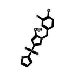 O=C(O)c1cc(S(=O)(=O)c2cccs2)cn1Cc1ccc(Cl)c(F)c1